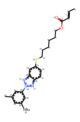 C/C=C/C(=O)OCCCCCCSc1ccc2nn(-c3cc(C)cc(CCCC)c3)nc2c1